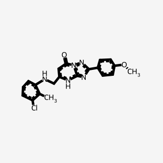 COc1ccc(-c2nc3[nH]c(CNc4cccc(Cl)c4C)cc(=O)n3n2)cc1